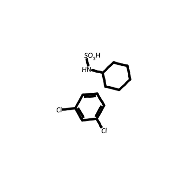 Clc1cccc(Cl)c1.O=S(=O)(O)NC1CCCCC1